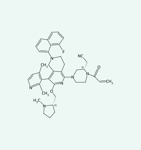 C=CC(=O)N1CCN(c2nc(OC[C@@H]3CCCN3C)c(-c3c(C)ccnc3C)c3c2CCN(c2cccc4cccc(F)c24)C3)C[C@@H]1CC#N